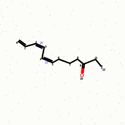 C=C/C=C\C=C/CCCC(=O)CI